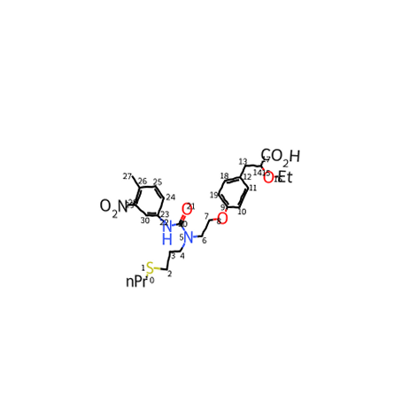 CCCSCCCN(CCOc1ccc(CC(OCC)C(=O)O)cc1)C(=O)Nc1ccc(C)c([N+](=O)[O-])c1